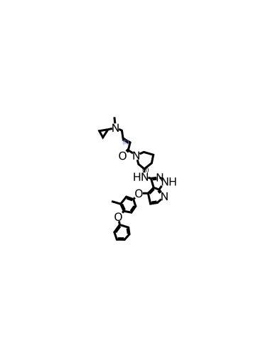 Cc1cc(Oc2ccnc3[nH]nc(N[C@@H]4CCCN(C(=O)/C=C/CN(C)C5CC5)C4)c23)ccc1Oc1ccccc1